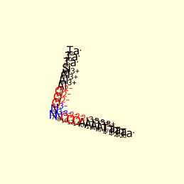 [Al+3].[Al+3].[Al+3].[Al+3].[Al+3].[Al+3].[Al+3].[N-3].[N-3].[N-3].[O-2].[O-2].[O-2].[O-2].[O-2].[O-2].[Si].[Ta].[Ta].[Ta].[Ta].[Ta].[Ta].[Ta]